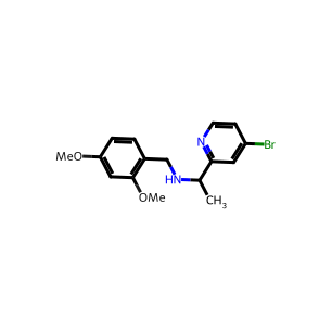 COc1ccc(CNC(C)c2cc(Br)ccn2)c(OC)c1